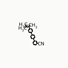 CC(c1ccc(-c2ccc(-c3cccc(C#N)c3)cc2)cc1)N(C)C